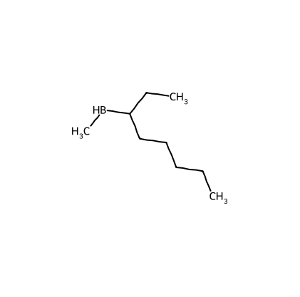 CBC(CC)CCCCC